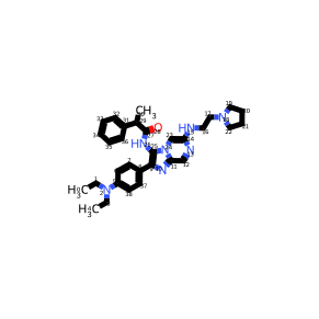 CCN(CC)c1ccc(-c2nc3cnc(NCCN4CCCC4)cn3c2NC(=O)C(C)c2ccccc2)cc1